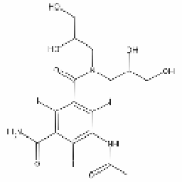 CC(=O)Nc1c(I)c(C(N)=O)c(I)c(C(=O)N(CC(O)CO)CC(O)CO)c1I